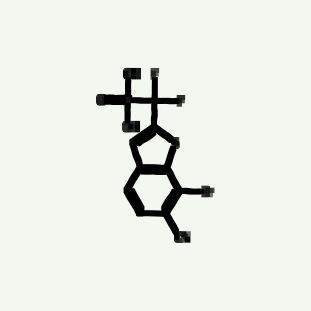 N#Cc1ccc2cc(C(F)(F)P(=O)(O)O)sc2c1Br